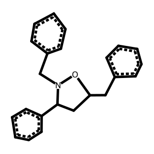 c1ccc(CC2CC(c3ccccc3)N(Cc3ccccc3)O2)cc1